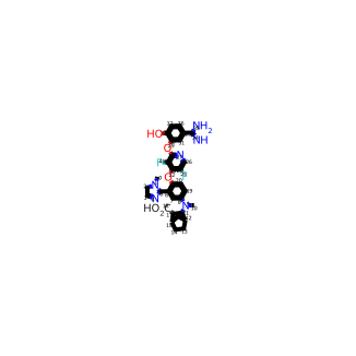 CN1CC=NC1c1cc(N(C)C2C3CCC(C3)C2C(=O)O)ccc1Oc1c(F)cnc(Oc2cc(C(=N)N)ccc2O)c1F